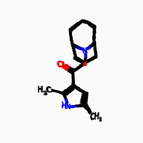 Cc1cc(C(=O)CN2C3CCCC2CCC3)c(C)[nH]1